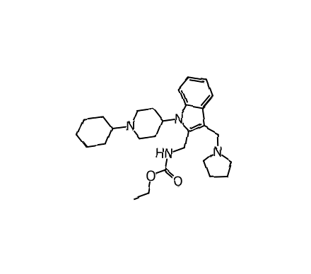 CCOC(=O)NCc1c(CN2CCCC2)c2ccccc2n1C1CCN(C2CCCCC2)CC1